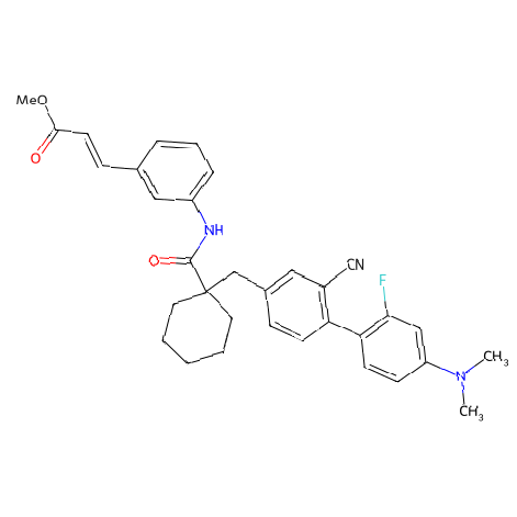 COC(=O)/C=C/c1cccc(NC(=O)C2(Cc3ccc(-c4ccc(N(C)C)cc4F)c(C#N)c3)CCCCC2)c1